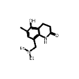 CCN(CC)Cc1cc(C)c(O)c2c1NC(=O)CC2